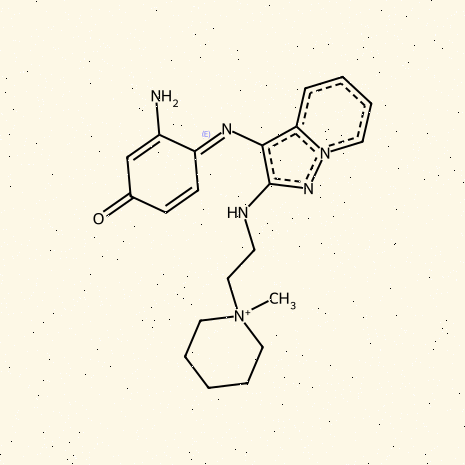 C[N+]1(CCNc2nn3ccccc3c2/N=C2\C=CC(=O)C=C2N)CCCCC1